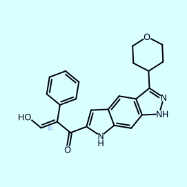 O=C(/C(=C/O)c1ccccc1)c1cc2cc3c(C4CCOCC4)n[nH]c3cc2[nH]1